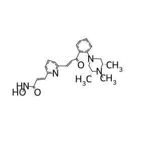 C[C@@H]1CN(c2ccccc2C(=O)C=Cc2cccc(C=CC(=O)NO)n2)C[C@H](C)N1C